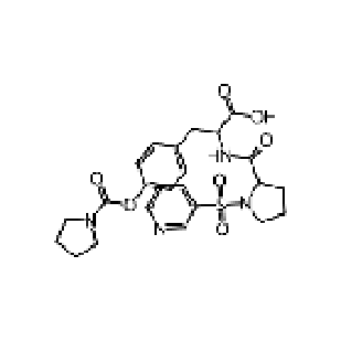 O=C(O)C(Cc1ccc(OC(=O)N2CCCC2)cc1)NC(=O)C1CCCN1S(=O)(=O)c1cccnc1